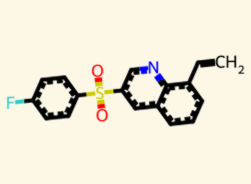 C=Cc1cccc2cc(S(=O)(=O)c3ccc(F)cc3)cnc12